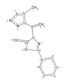 C=C(c1nnsc1C)C1N=C(c2ccccc2)OC1=O